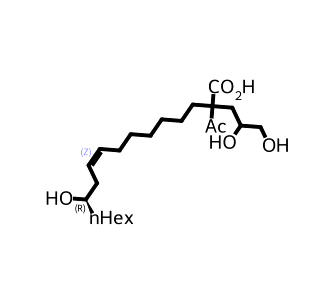 CCCCCC[C@@H](O)C/C=C\CCCCCCC(CC(O)CO)(C(C)=O)C(=O)O